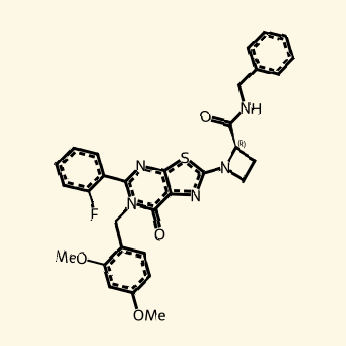 COc1ccc(Cn2c(-c3ccccc3F)nc3sc(N4CC[C@@H]4C(=O)NCc4ccccc4)nc3c2=O)c(OC)c1